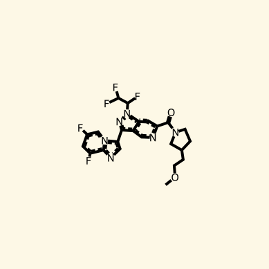 COCCC1CCN(C(=O)c2cc3c(cn2)c(-c2cnc4c(F)cc(F)cn24)nn3C(F)C(F)F)C1